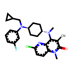 Cn1c(=O)c(C#N)c(N(C)[C@H]2CC[C@H](N(CC3CC3)c3cccc(F)c3)CC2)c2nc(Cl)ccc21